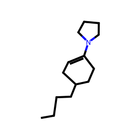 CCCCC1CC=C(N2CCCC2)CC1